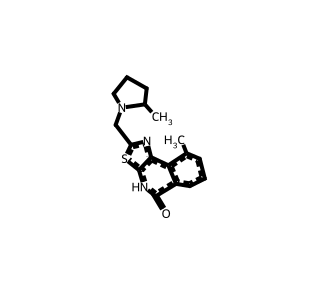 Cc1cccc2c(=O)[nH]c3sc(CN4CCCC4C)nc3c12